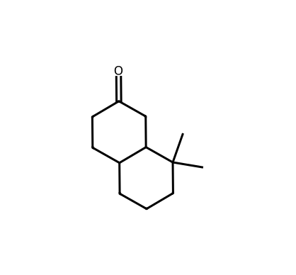 CC1(C)CCCC2CCC(=O)CC21